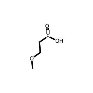 COCC[PH](=O)O